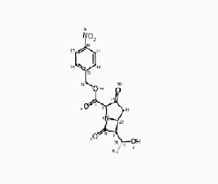 C[C@@H](O)C1C(=O)N2C(C(=O)OCc3ccc([N+](=O)[O-])cc3)C(=O)CC12